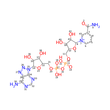 NC(=O)c1ccc[n+](C2OC(COP(=O)(O)OP(=O)(O)OCC3OC(n4nnc5c(N)ncnc54)C(O)C3O)C(O)C2O)c1